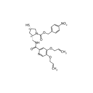 C=CCOc1cnc(C(=O)NC[C@@H]2C[C@H](S)CN2C(=O)OCc2ccc([N+](=O)[O-])cc2)cc1OCC=C